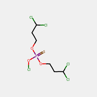 S=P(OCl)(OCCC(Cl)Cl)OCCC(Cl)Cl